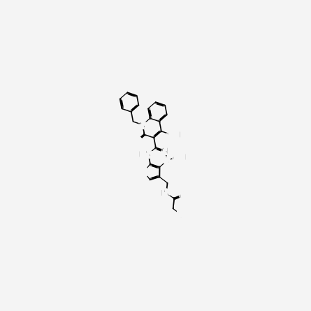 O=C(CO)NCc1csc2c1S(O)(O)N=C(c1c(O)c3ccccc3n(Cc3ccccc3)c1=O)N2